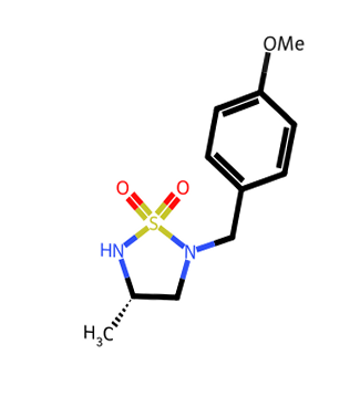 COc1ccc(CN2C[C@H](C)NS2(=O)=O)cc1